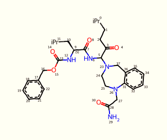 CC(C)CCC(=O)C(NC(=O)[C@H](CC(C)C)NC(=O)OCc1ccccc1)N1CCN(CC(N)=O)c2ccccc2C1